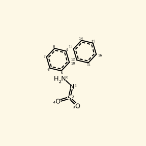 NN=S(=O)=O.c1ccccc1.c1ccccc1